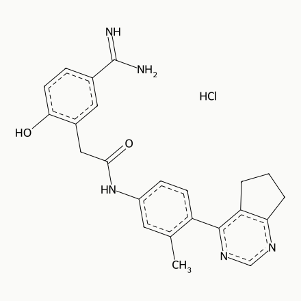 Cc1cc(NC(=O)Cc2cc(C(=N)N)ccc2O)ccc1-c1ncnc2c1CCC2.Cl